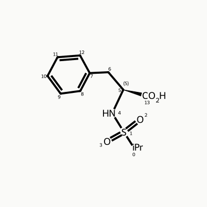 CC(C)S(=O)(=O)N[C@@H](Cc1ccccc1)C(=O)O